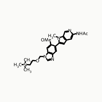 COc1cc2c(cc1-c1cc3cc(NC(C)=O)ncc3n1C)ncn2COCC[Si](C)(C)C